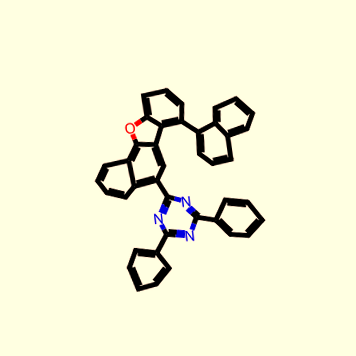 c1ccc(-c2nc(-c3ccccc3)nc(-c3cc4c(oc5cccc(-c6cccc7ccccc67)c54)c4ccccc34)n2)cc1